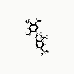 COc1cc(/N=N/c2ccc([N+](=O)[O-])cc2[N+](=O)[O-])c(OC)cc1N